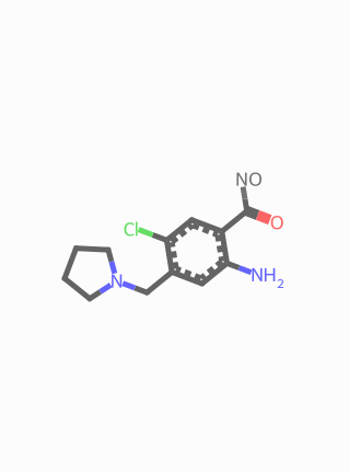 Nc1cc(CN2CCCC2)c(Cl)cc1C(=O)N=O